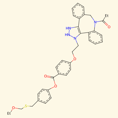 CCOCSCc1ccc(OC(=O)c2ccc(OCCN3NNC4=C3c3ccccc3N(C(=O)CC)Cc3ccccc34)cc2)cc1